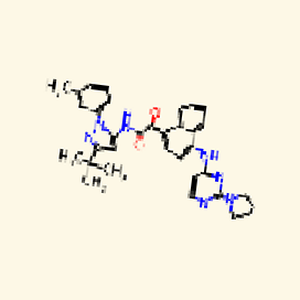 Cc1cccc(-n2nc(C(C)(C)C)cc2NC(=O)C(=O)c2ccc(Nc3ccnc(N4CCCC4)n3)c3ccccc23)c1